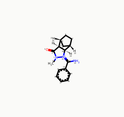 CN1C(=O)[C@H]2[C@@H]3CC[C@@H](C3)[C@H]2/[N+]1=C(\N)c1ccccc1